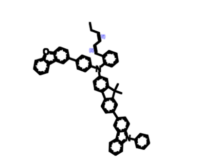 CC/C=C\C=C/c1ccccc1N(c1ccc(-c2ccc3oc4ccccc4c3c2)cc1)c1ccc2c(c1)C(C)(C)c1cc(-c3ccc4c(c3)c3ccccc3n4-c3ccccc3)ccc1-2